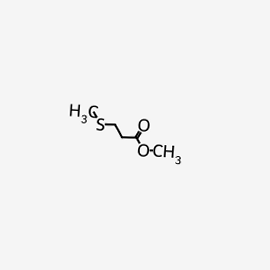 COC(=O)CCSC